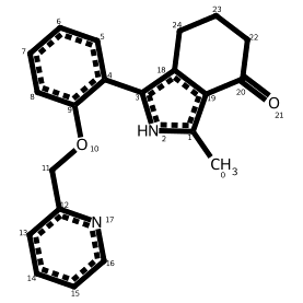 Cc1[nH]c(-c2ccccc2OCc2ccccn2)c2c1C(=O)CCC2